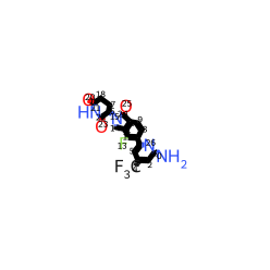 Nc1cc(C(F)(F)F)cc(-c2ccc3c(c2F)CN(C2CCC(=O)NC2=O)C3=O)n1